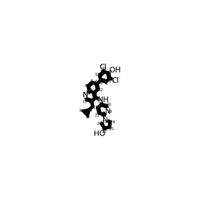 Oc1c(Cl)cc(-c2ccc3ncc(CC4CC4)c(Nc4ccc(N5CCC(O)C5)nc4)c3c2)cc1Cl